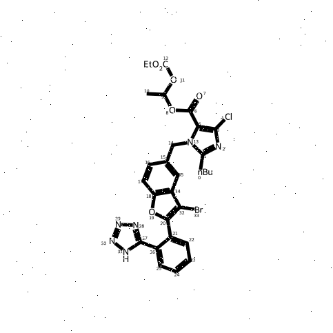 CCCCc1nc(Cl)c(C(=O)OC(C)OC(=O)OCC)n1Cc1ccc2oc(-c3ccccc3-c3nnn[nH]3)c(Br)c2c1